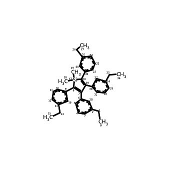 CCc1cccc(C2=C(c3cccc(CC)c3)[Si](C)(C)C(c3cccc(CC)c3)=C2c2cccc(CC)c2)c1